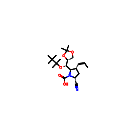 C/C=C\[C@@H]1C[C@H](C#N)N(C(=O)O)[C@H]1[C@H](O[Si](C)(C)C(C)(C)C)[C@H]1COC(C)(C)O1